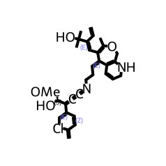 C=C/C(=C\C1=C(C)OCC2=C(C=CCN2)/C1=C\CCN=C=C=C(C(/C=C\C(=C)Cl)=C/C)[C@@H](O)OC)C(C)(C)O